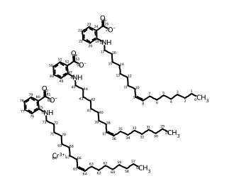 CCCCCCCC/C=C\CCCCCCCCNc1ccccc1C(=O)[O-].CCCCCCCC/C=C\CCCCCCCCNc1ccccc1C(=O)[O-].CCCCCCCC/C=C\CCCCCCCCNc1ccccc1C(=O)[O-].[Cr+3]